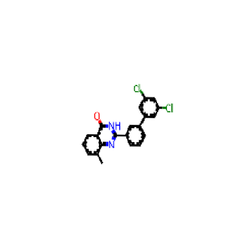 Cc1cccc2c(=O)[nH]c(-c3cccc(-c4cc(Cl)cc(Cl)c4)c3)nc12